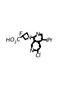 CC(C)c1cnc(N2CC(F)(C(=O)O)C2)c2cnc(Cl)cc12